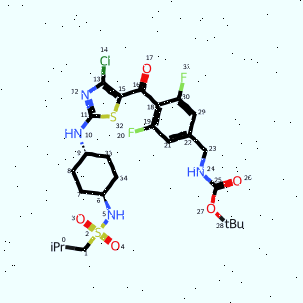 CC(C)CS(=O)(=O)N[C@H]1CC[C@H](Nc2nc(Cl)c(C(=O)c3c(F)cc(CNC(=O)OC(C)(C)C)cc3F)s2)CC1